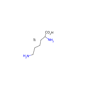 NCCCCC(N)C(=O)O.[Ti]